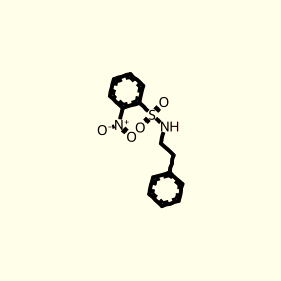 O=[N+]([O-])c1ccccc1S(=O)(=O)NCCc1ccccc1